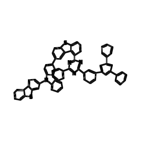 c1ccc(-c2cc(-c3ccccc3)cc(-c3cccc(-c4nc(-c5ccccc5)nc(-c5cccc6sc7ccc(-c8ccc9c(c8)c8ccccc8n9-c8ccc9c(c8)sc8ccccc89)cc7c56)n4)c3)c2)cc1